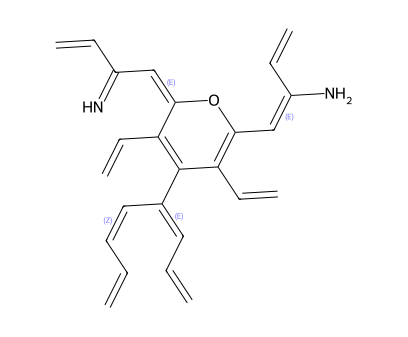 C=C/C=C\C(=C/C=C)C1=C(C=C)/C(=C\C(=N)C=C)OC(/C=C(/N)C=C)=C1C=C